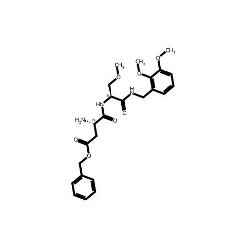 COC[C@H](NC(=O)[C@@H](N)CC(=O)OCc1ccccc1)C(=O)NCc1cccc(OC)c1OC